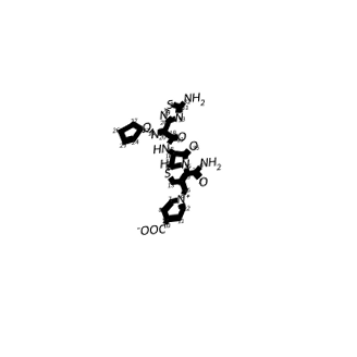 NC(=O)C1=C(C[n+]2ccc(C(=O)[O-])cc2)CS[C@H]2C(NC(=O)C(=NOC3C=CCC3)c3nsc(N)n3)C(=O)N12